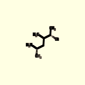 CC[C@@H](C)C(C)C[C@H](C)N